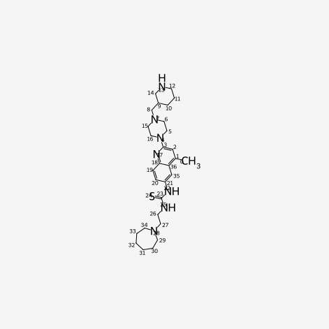 Cc1cc(N2CCN(CC3CCCNC3)CC2)nc2ccc(NC(=S)NCCN3CCCCCC3)cc12